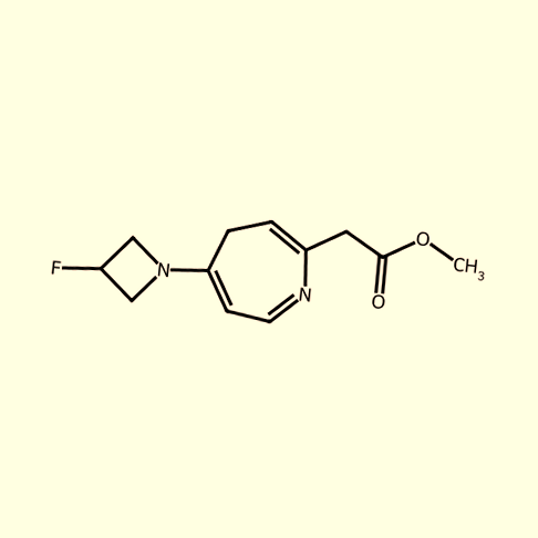 COC(=O)CC1=CCC(N2CC(F)C2)=CC=N1